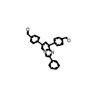 O=Cc1ccc(-c2cc(-c3ccc(C=O)cc3)c3nc(-c4ccccc4)cn3c2)cc1